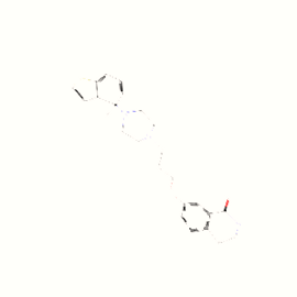 CC1(N2CCN(CCCOc3ccc4c(c3)C(=O)NCC4)CC2)C=CC=C2SC=CC21